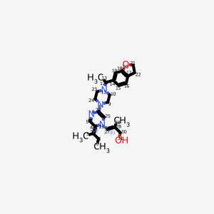 CC/C(C)=C1/C=NC(N2CCN(C(C)c3ccc4c(c3)OCC4)CC2)=CN1/C=C(\C)CO